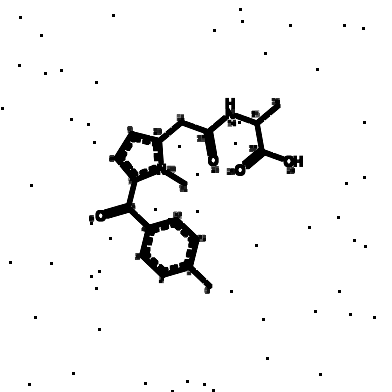 Cc1ccc(C(=O)c2ccc(CC(=O)NC(C)C(=O)O)n2C)cc1